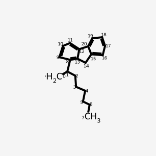 [CH2]C(CCCCCC)c1cccc2c1Cc1ccccc1-2